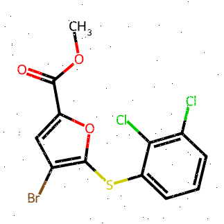 COC(=O)c1cc(Br)c(Sc2cccc(Cl)c2Cl)o1